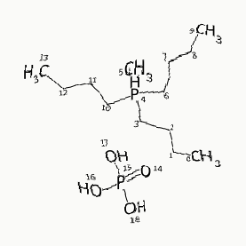 CCCC[PH](C)(CCCC)CCCC.O=P(O)(O)O